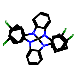 Fc1cccc(N2c3ccccc3N(c3cccc(F)c3)[Si]23N(c2cccc(F)c2)c2ccccc2N3c2cccc(F)c2)c1